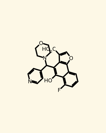 O=C(O)c1coc2c1c(C(c1ccncc1)N1CCOCC1)c(O)c1c(F)cccc12